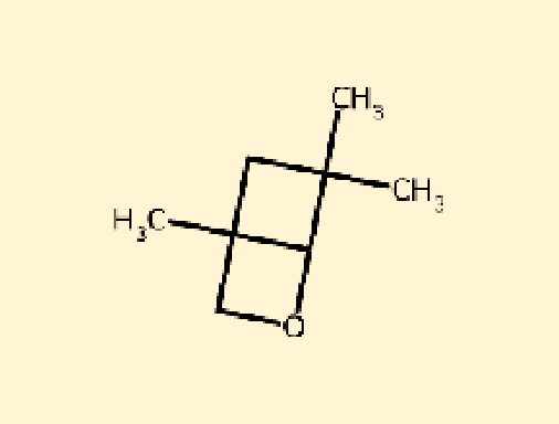 CC1(C)CC2(C)COC12